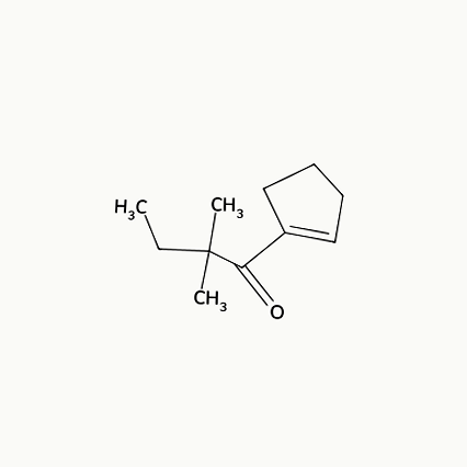 CCC(C)(C)C(=O)C1=CCCC1